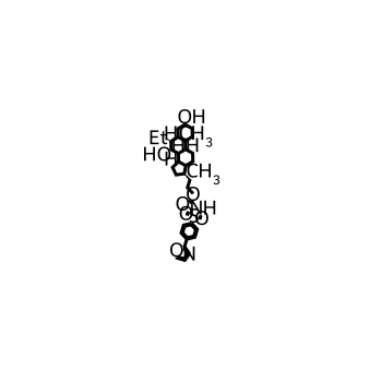 CC[C@H]1[C@@H](O)[C@@H]2[C@H](CC[C@]3(C)[C@@H](CCOC(=O)NS(=O)(=O)c4ccc(-c5ncco5)cc4)CC[C@@H]23)[C@@]2(C)CC[C@@H](O)C[C@@H]12